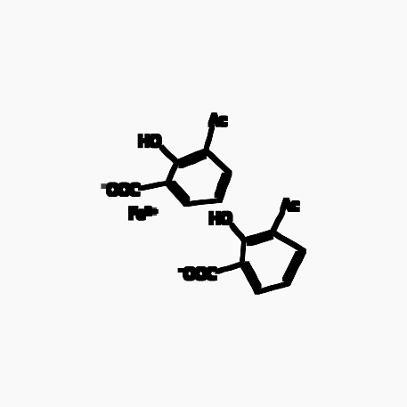 CC(=O)c1cccc(C(=O)[O-])c1O.CC(=O)c1cccc(C(=O)[O-])c1O.[Fe+2]